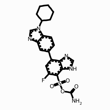 NC(=O)OS(=O)(=O)c1c(F)cc(-c2ccc3c(c2)ncn3C2CCCCC2)c2nc[nH]c12